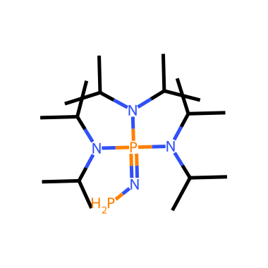 CC(C)N(C(C)C)P(=NP)(N(C(C)C)C(C)C)N(C(C)C)C(C)C